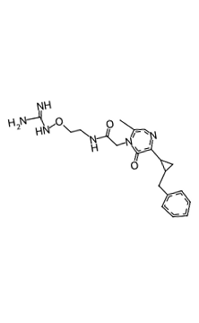 Cc1cnc(C2CC2Cc2ccccc2)c(=O)n1CC(=O)NCCONC(=N)N